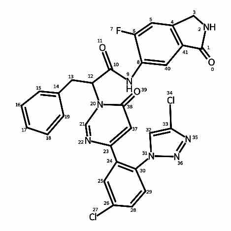 O=C1NCc2cc(F)c(NC(=O)C(Cc3ccccc3)n3cnc(-c4cc(Cl)ccc4-n4cc(Cl)nn4)cc3=O)cc21